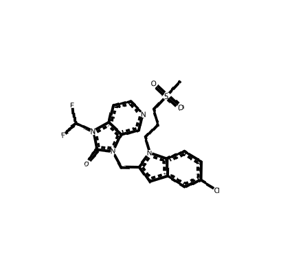 CS(=O)(=O)CCCn1c(Cn2c(=O)n(C(F)F)c3ccncc32)cc2cc(Cl)ccc21